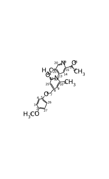 COc1ccc(OCc2cc(C)n(-c3cc(C(C)=O)ncc3C)c(=O)c2)cc1